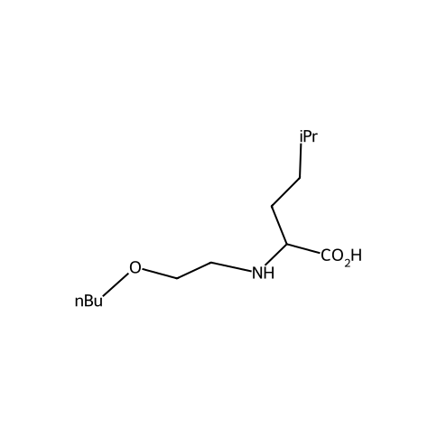 CCCCOCCNC(CCC(C)C)C(=O)O